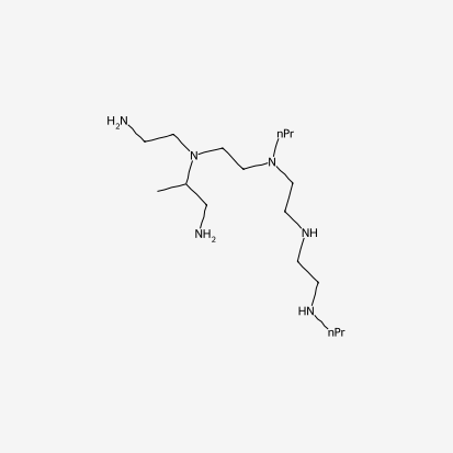 CCCNCCNCCN(CCC)CCN(CCN)C(C)CN